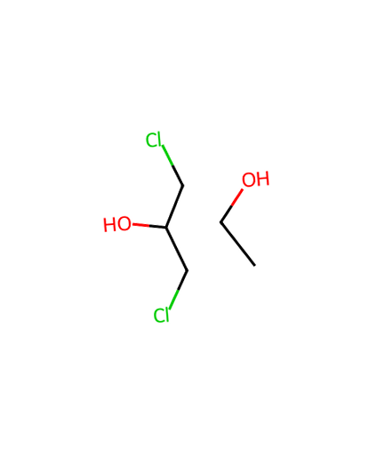 CCO.OC(CCl)CCl